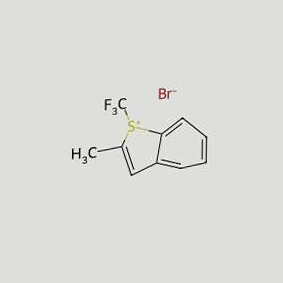 Cc1cc2ccccc2[s+]1C(F)(F)F.[Br-]